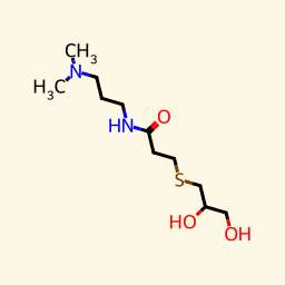 CN(C)CCCNC(=O)CCSCC(O)CO